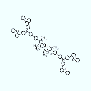 Cc1cc2c(cc1-c1ccc(-c3ccc(N(c4ccc(-c5cccc6c5oc5ccccc56)cc4)c4ccc(-c5cccc6c5oc5ccccc56)cc4)cc3)cc1)C(C)(C)CC1(CC(C)(C)c3cc(-c4ccc(-c5ccc(N(c6ccc(-c7cccc8c7oc7ccccc78)cc6)c6ccc(-c7cccc8c7oc7ccccc78)cc6)cc5)cc4)c(C)cc3O1)O2